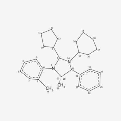 Cc1ccccc1N1C(C2CCCC2)N(C2CCCCC2)C(c2ccccc2)[C@@H]1C